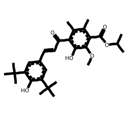 COc1c(O)c(C(=O)C=Cc2cc(C(C)(C)C)c(O)c(C(C)(C)C)c2)c(C)c(C)c1C(=O)OC(C)C